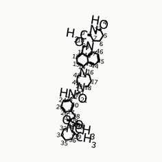 C=C1NC(=O)CCC1N1C(=O)c2ccc(N3CCCN(C(=O)Nc4cccc(CS(=O)(=O)N5CCCCC5(C)C)c4)CC3)c3cccc1c23